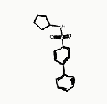 O=S(=O)(NC1CCCC1)c1ccc(-c2ccccc2)cc1